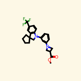 COC(=O)C1CN(c2cccc(N3CC4(CCCC4)c4cc(C(F)(F)F)ccc43)c2)C1